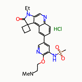 CCN1C(=O)C2(CCC2)c2c1cnc1ccc(-c3cnc(OCCNC)c(NS(C)(=O)=O)c3)cc21.Cl